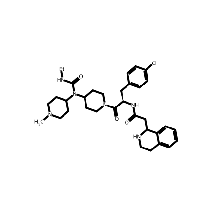 CCNC(=O)N(C1CCN(C)CC1)C1CCN(C(=O)[C@@H](Cc2ccc(Cl)cc2)NC(=O)CC2NCCc3ccccc32)CC1